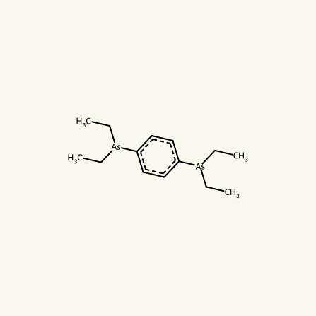 CC[As](CC)c1ccc([As](CC)CC)cc1